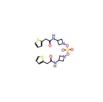 O=C(Cc1cccs1)NC1CN(OS(=O)(=O)ON2CC(NC(=O)Cc3cccs3)C2)C1